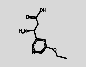 CCOc1cncc([C@@H](N)CC(=O)O)c1